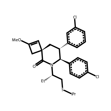 CC[C@@H](CSC(C)C)N1C(=O)[C@]2(C=C(OC)C2)C[C@H](c2cccc(Cl)c2)[C@H]1c1ccc(Cl)cc1